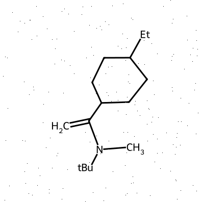 C=C(C1CCC(CC)CC1)N(C)C(C)(C)C